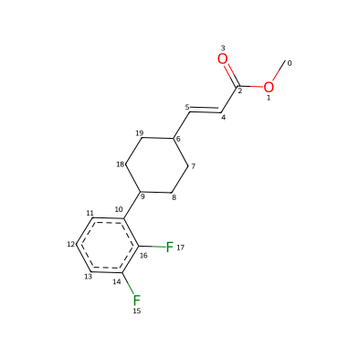 COC(=O)C=CC1CCC(c2cccc(F)c2F)CC1